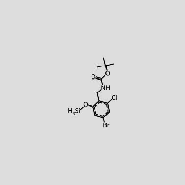 CC(C)(C)OC(=O)NCc1c(Cl)cc(Br)cc1O[SiH3]